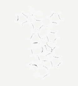 C=CC1=C(/C=C\C)c2cccc(-c3ccc4cc(N(c5ccccc5)c5ccc6c(c5)C(C)(C)c5ccccc5-6)ccc4c3)c2C12C(C=C)=C(/C=C\C)c1c2ccc2sc3ccccc3c12